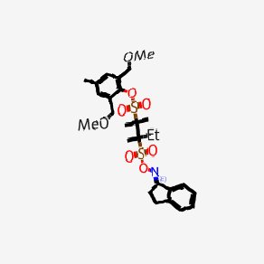 CCC(C)(C(C)(C)S(=O)(=O)Oc1c(COC)cc(C)cc1COC)S(=O)(=O)O/N=C1\CCc2ccccc21